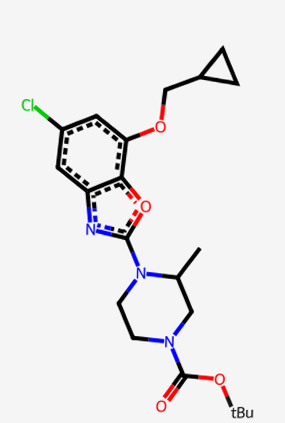 CC1CN(C(=O)OC(C)(C)C)CCN1c1nc2cc(Cl)cc(OCC3CC3)c2o1